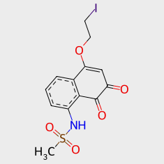 CS(=O)(=O)Nc1cccc2c1C(=O)C(=O)C=C2OCCI